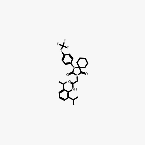 CC(C)c1cccc(C(C)C)c1NC(=O)CN1C(=O)N(c2ccc(OC(F)(F)F)cc2)C2(CCCCC2)C1=O